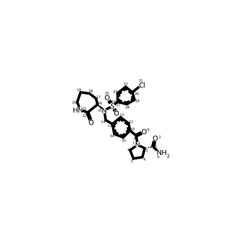 NC(=O)[C@@H]1CCCN1C(=O)c1ccc(CN([C@@H]2CCCCNC2=O)S(=O)(=O)c2ccc(Cl)cc2)cc1